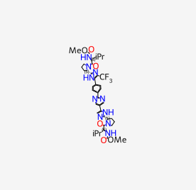 COC(=O)N[C@H](C(=O)N1CCC[C@H]1c1ncc(-c2cnc(-c3ccc(-c4[nH]c([C@@H]5CCCN5C(=O)[C@@H](NC(=O)OC)C(C)C)nc4C(F)(F)F)cc3)nc2)[nH]1)C(C)C